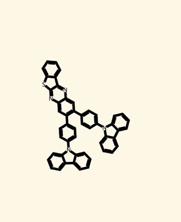 c1ccc2c(c1)sc1nc3cc(-c4ccc(-n5c6ccccc6c6ccccc65)cc4)c(-c4ccc(-n5c6ccccc6c6ccccc65)cc4)cc3nc12